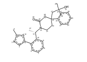 Cc1ncc(-c2ccccc2[C@H](C)N2CCC(CC(C)(C)O)(c3ccccc3)OC2=O)s1